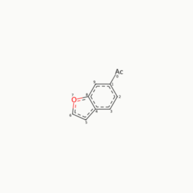 CC(=O)c1ccc2ccoc2c1